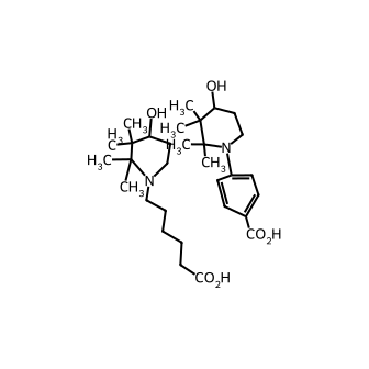 CC1(C)C(O)CCN(CCCCCC(=O)O)C1(C)C.CC1(C)C(O)CCN(c2ccc(C(=O)O)cc2)C1(C)C